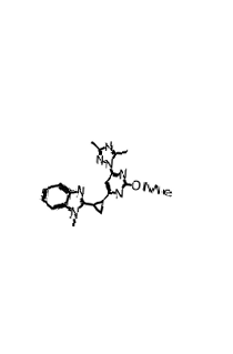 COc1nc([C@H]2CC2c2nc3ccccc3n2C)cc(-n2nc(C)nc2C)n1